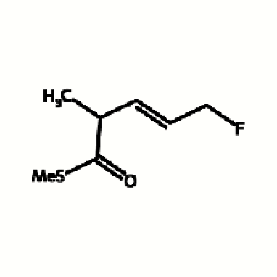 CSC(=O)C(C)/C=C/CF